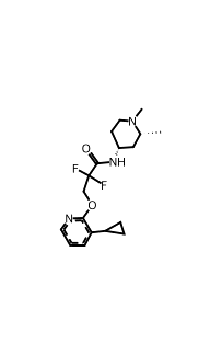 C[C@@H]1C[C@H](NC(=O)C(F)(F)COc2ncccc2C2CC2)CCN1C